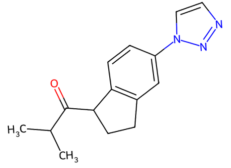 CC(C)C(=O)C1CCc2cc(-n3ccnn3)ccc21